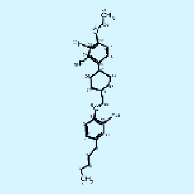 CCCCCc1ccc(OCC2CCC(c3ccc(OCC)c(F)c3F)CC2)c(F)c1